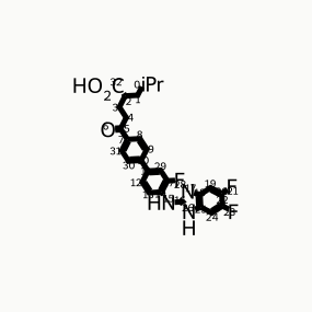 CC(C)CC(CCC(=O)c1ccc(-c2ccc(Nc3nc4cc(F)c(F)cc4[nH]3)c(F)c2)cc1)C(=O)O